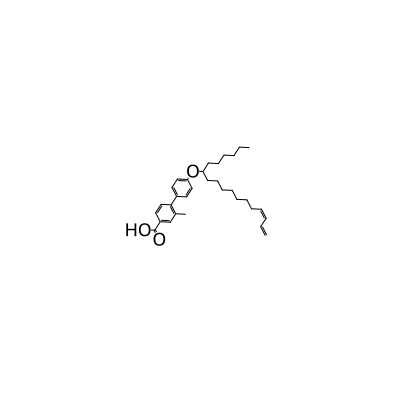 C=C/C=C\CCCCCCCC(CCCCCC)Oc1ccc(-c2ccc(C(=O)O)cc2C)cc1